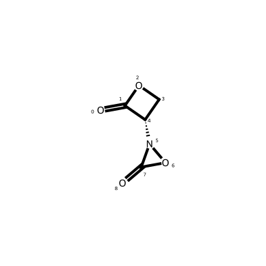 O=C1OC[C@@H]1N1OC1=O